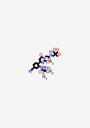 Cc1nc(-c2ccc(C#N)cc2NC(=O)C(C)(C)C)cc(=O)n1CC(=O)NCC1(CO)COC1